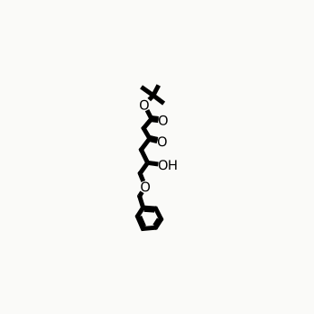 CC(C)(C)OC(=O)CC(=O)CC(O)COCc1ccccc1